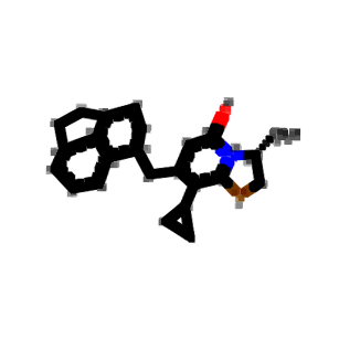 O=C(O)[C@@H]1CSc2c(C3CC3)c(Cc3ccc4c5c(cccc35)CC4)cc(=O)n21